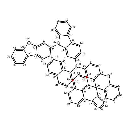 c1ccc2c(c1)Oc1ccc(N(c3ccc4c5ccccc5n(-c5ccc6c(c5)oc5ccccc56)c4c3)c3cccc4ccccc34)cc1C21c2ccccc2-c2cccc3cccc1c23